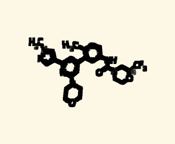 Cc1ccc(NC(=O)N2CCO[C@@H](C(F)(F)F)C2)cc1-c1cc(-c2cnn(C)c2)nc(N2CCOCC2)c1